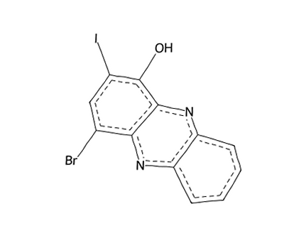 Oc1c(I)cc(Br)c2nc3ccccc3nc12